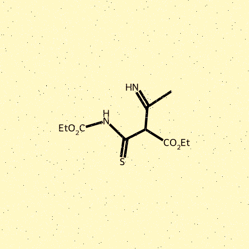 CCOC(=O)NC(=S)C(C(C)=N)C(=O)OCC